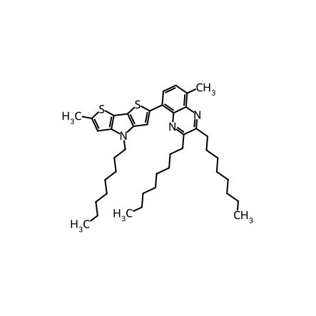 CCCCCCCCc1nc2c(C)ccc(-c3cc4c(s3)c3sc(C)cc3n4CCCCCCCC)c2nc1CCCCCCCC